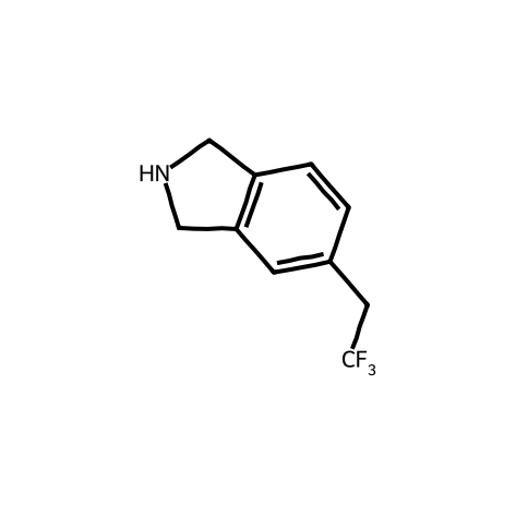 FC(F)(F)Cc1ccc2c(c1)CNC2